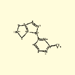 FC(F)(F)c1nccc(-n2ncc3c2CNC3)n1